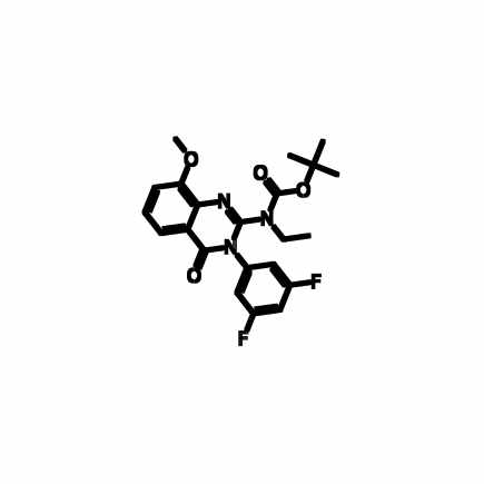 CCN(C(=O)OC(C)(C)C)c1nc2c(OC)cccc2c(=O)n1-c1cc(F)cc(F)c1